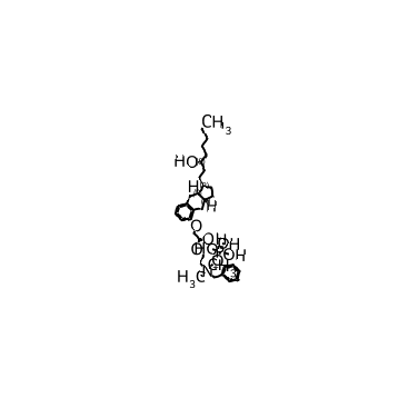 CCCCC[C@H](O)CC[C@H]1CC[C@@H]2Cc3c(cccc3OCC(=O)OCC[N+](C)(C)Cc3ccccc3O[PH](O)(O)O)C[C@H]12